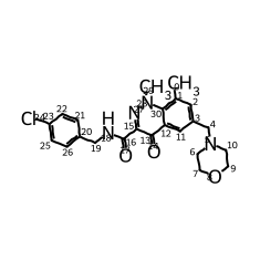 Cc1cc(CN2CCOCC2)cc2c(=O)c(C(=O)NCc3ccc(Cl)cc3)nn(C)c12